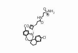 NS(=O)(=O)CCNC(=O)CC[C@@H]1CC[C@H]1CN1C[C@@]2(CCCc3cc(Cl)ccc32)COc2ccc(C(=O)O)cc21